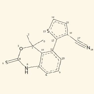 CC1(C)OC(=S)Nc2cccc(-c3sccc3C#N)c21